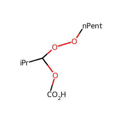 CCCCCOOC(OC(=O)O)C(C)C